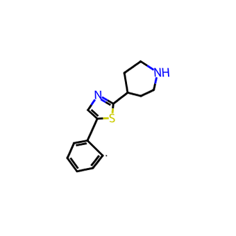 [c]1ccccc1-c1cnc(C2CCNCC2)s1